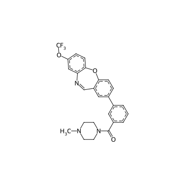 CN1CCN(C(=O)c2cccc(-c3ccc4c(c3)C=Nc3cc(OC(F)(F)F)ccc3O4)c2)CC1